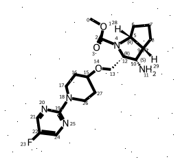 COC(=O)N1[C@@H]2CCC[C@@H]2[C@H](N)[C@@H]1COC1CCN(c2ncc(F)cn2)CC1